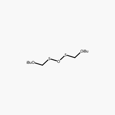 CC(C)COCSOSCOCC(C)C